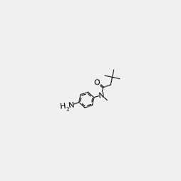 CN(C(=O)CC(C)(C)C)c1ccc(N)cc1